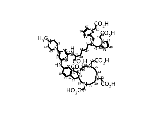 CN1CCN(c2nc(Nc3ccc(CC4CN(CC(=O)O)CCN(CC(=O)O)CCN(CC(=O)O)CCN4CC(=O)O)cc3)nc(N[C@@H](CCCCN(Cc3nccn3CC(=O)O)Cc3nccn3CC(=O)O)C(=O)O)n2)CC1